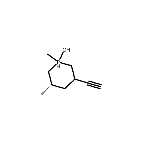 C#CC1C[C@H](C)C[PH](C)(O)C1